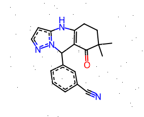 CC1(C)CCC2=C(C1=O)C(c1cccc(C#N)c1)n1nccc1N2